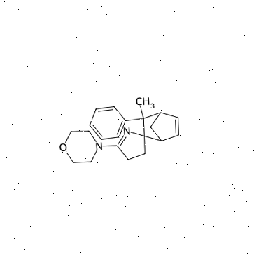 CC1(c2ccccc2)C2C=CC(C2)C12CCC(N1CCOCC1)=N2